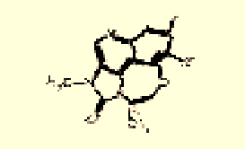 C[C@@H]1COc2c(Br)c(F)cc3ncc4c(c23)n1c(=O)n4C